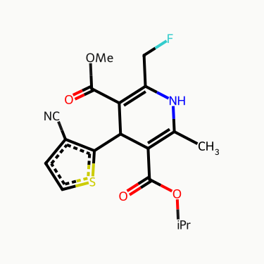 COC(=O)C1=C(CF)NC(C)=C(C(=O)OC(C)C)C1c1sccc1C#N